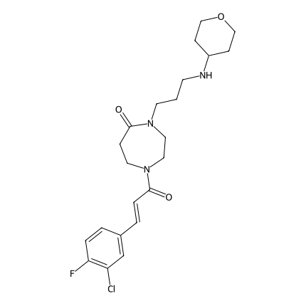 O=C(C=Cc1ccc(F)c(Cl)c1)N1CCC(=O)N(CCCNC2CCOCC2)CC1